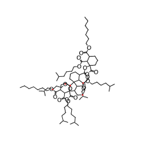 CCCCCCCOC(=O)C1CCCC(OC(=O)C2CCCC(C(=O)OCCCCC(C)C)(C3CCCCC3C3(C(=O)OCCCCC(C)C)CCCC(C(=O)OCCCCCCC)C3C(=O)OCCCCC(C)C)C2C(=O)OCCCCC(C)C)(C(=O)OCCCCC(C)C)C1C(=O)OCCCCC(C)C